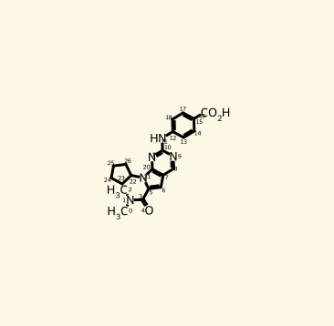 CN(C)C(=O)c1cc2cnc(Nc3ccc(C(=O)O)cc3)nc2n1C1CCCC1